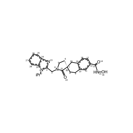 CC(C)n1c(CN2CC[C@]3(CCc4cc(C(=O)NO)ccc4C3)C2=O)nc2ccccc21